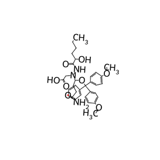 CCCCC(O)C(=O)NN(CC(=O)O)C(CCC(N)=O)OC(c1ccccc1)(c1ccc(OC)cc1)c1ccc(OC)cc1